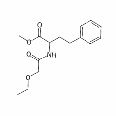 CCOCC(=O)NC(CCc1ccccc1)C(=O)OC